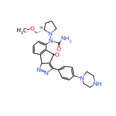 COC[C@@H]1CCCN1N(C(N)=O)c1cccc2c1C(=O)C1=C(c3ccc(N4CCNCC4)cc3)N=NC12